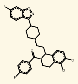 O=C(c1ccc(F)cc1)N1CCc2c(ccc(Cl)c2Cl)C1CCN1CCC(c2noc3cc(F)ccc23)CC1